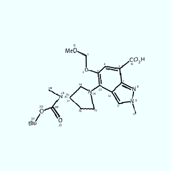 COCOc1cc(C(=O)O)c2nn(C)cc2c1N1CC[C@H](N(C)C(=O)OC(C)(C)C)C1